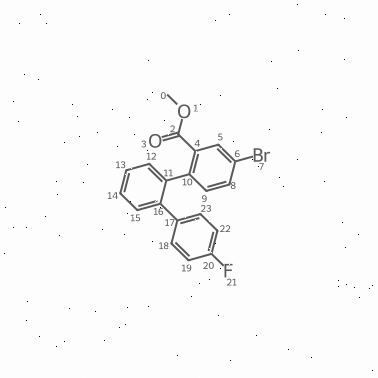 COC(=O)c1cc(Br)ccc1-c1ccccc1-c1ccc(F)cc1